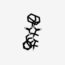 COc1ccccc1CNC(=O)OC12CC3CC(C1)C(NC(=O)C(C)(C)N1CCCC(F)(F)C1)C(C3)C2